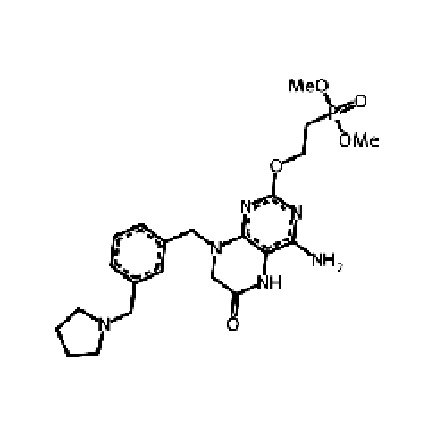 COP(=O)(CCOc1nc(N)c2c(n1)N(Cc1cccc(CN3CCCC3)c1)CC(=O)N2)OC